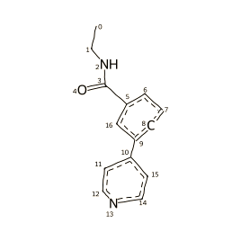 CCNC(=O)c1cccc(-c2ccncc2)c1